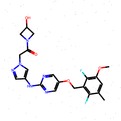 COc1cc(C)c(F)c(COc2cnc(Nc3cnn(CC(=O)N4CC(O)C4)c3)nc2)c1F